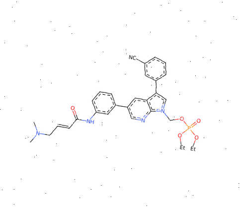 CCOP(=O)(OCC)OCn1cc(-c2cccc(C#N)c2)c2cc(-c3cccc(NC(=O)C=CCN(C)C)c3)cnc21